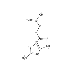 Nc1cc2[nH]cc(CCC(=O)O)c2s1